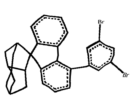 Brc1cc(Br)cc(-c2cccc3c2-c2ccccc2C32C3CC4CC(C3)C2C4)c1